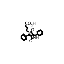 O=C(O)CCCN1C(=O)C2=C(c3ccccc3)NC(=O)C2=C1c1ccccc1